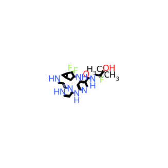 CC(C)(O)[C@H](F)CNC(=O)c1cnc(NC2=N/C(=C/C=N)NC=C2)cc1NC1CC2CC2C1(F)F